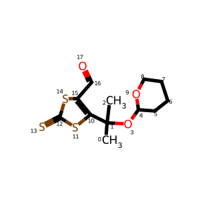 CC(C)(OC1CCCCO1)c1sc(=S)sc1C=O